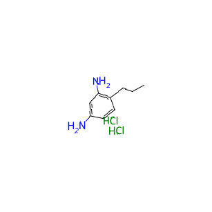 CCCc1ccc(N)cc1N.Cl.Cl